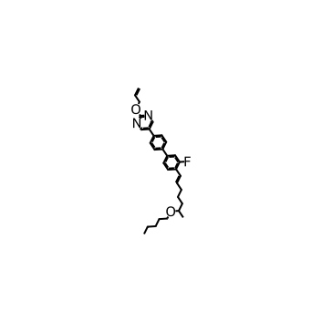 C=CCOc1ncc(-c2ccc(-c3ccc(C=CCCCC(C)OCCCCC)c(F)c3)cc2)cn1